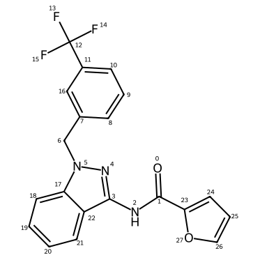 O=C(Nc1nn(Cc2cccc(C(F)(F)F)c2)c2ccccc12)c1ccco1